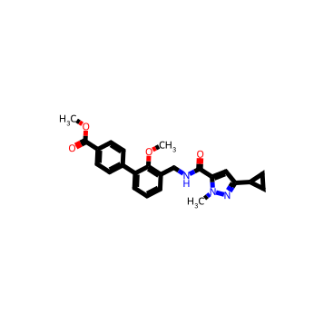 COC(=O)c1ccc(-c2cccc(CNC(=O)c3cc(C4CC4)nn3C)c2OC)cc1